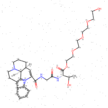 CC[C@@]12C=C(C(=O)NCC(=O)N[C@H](C(=O)OCCOCCOCCOCCO)C(C)O)n3c4c(c5ccccc53)CCN(CCC1)[C@H]42